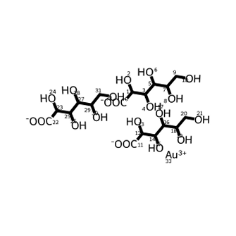 O=C([O-])C(O)C(O)C(O)C(O)CO.O=C([O-])C(O)C(O)C(O)C(O)CO.O=C([O-])C(O)C(O)C(O)C(O)CO.[Au+3]